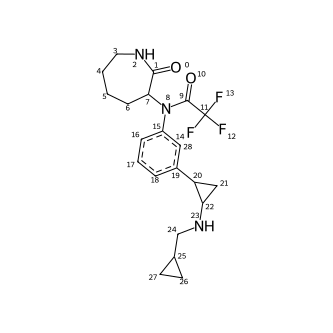 O=C1NCCCCC1N(C(=O)C(F)(F)F)c1cccc(C2CC2NCC2CC2)c1